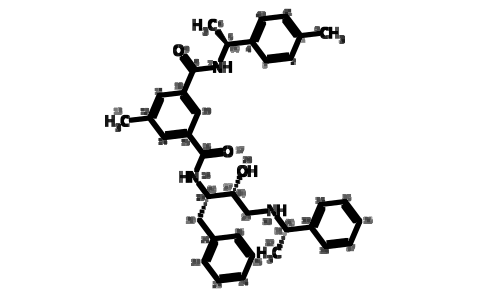 Cc1ccc([C@H](C)NC(=O)c2cc(C)cc(C(=O)N[C@@H](Cc3ccccc3)[C@H](O)CN[C@@H](C)c3ccccc3)c2)cc1